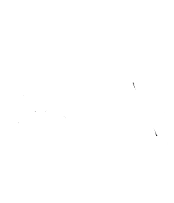 C[C@H]1CC[C@@H](Oc2ccc3ccc(CN4C5CCC4CC(C(=O)O)C5)cc3c2Cl)CC1